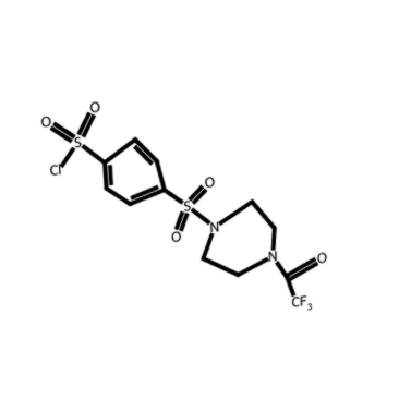 O=C(N1CCN(S(=O)(=O)c2ccc(S(=O)(=O)Cl)cc2)CC1)C(F)(F)F